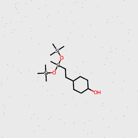 C[Si](C)(C)O[Si](C)(CCC1CCC(O)CC1)O[Si](C)(C)C